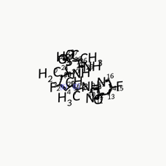 C=C(/C(F)=C\C=C(/C)Nc1noc2cc(F)cnc12)[C@]1(C)CS(=O)(=O)C(C)(C)C(=N)N1